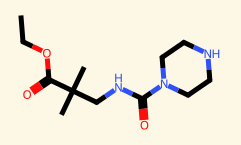 CCOC(=O)C(C)(C)CNC(=O)N1CCNCC1